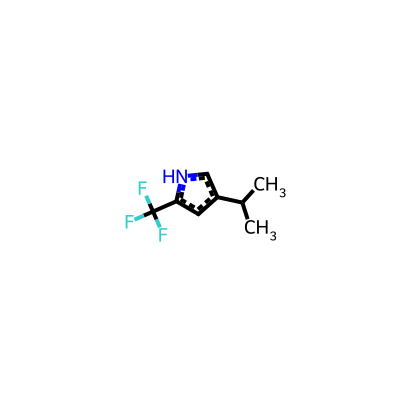 CC(C)c1c[nH]c(C(F)(F)F)c1